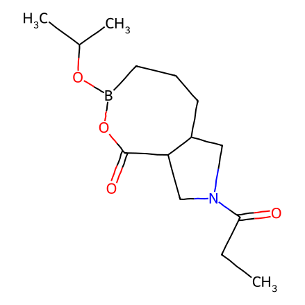 CCC(=O)N1CC2CCCB(OC(C)C)OC(=O)C2C1